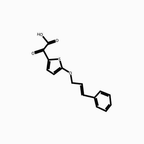 O=C(O)C(=O)c1ccc(OCC=Cc2ccccc2)s1